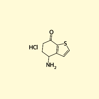 Cl.NC1CCC(=O)c2sccc21